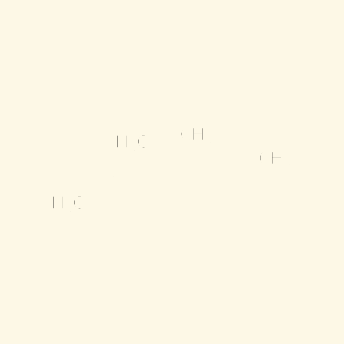 CC.CCCCCC